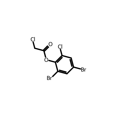 O=C(CCl)Oc1c(Cl)cc(Br)cc1Br